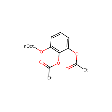 CCCCCCCCOc1cccc(OC(=O)CC)c1OC(=O)CC